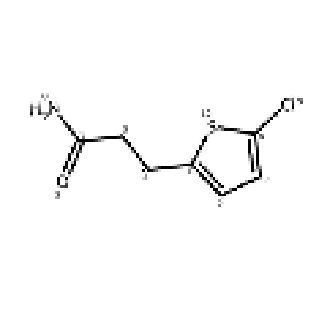 NC(=O)C[CH]c1ccc(Cl)s1